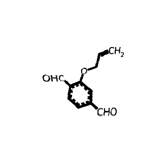 C=CCOc1cc(C=O)ccc1C=O